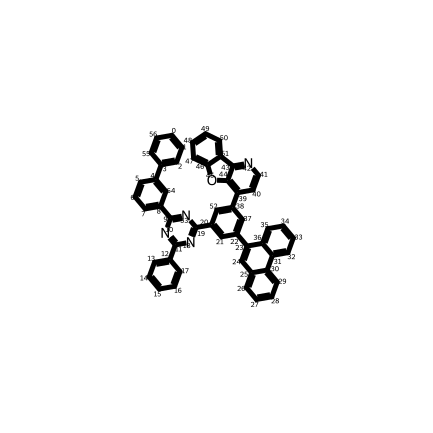 c1ccc(-c2cccc(-c3nc(-c4ccccc4)nc(-c4cc(-c5cc6ccccc6c6ccccc56)cc(-c5ccnc6c5oc5ccccc56)c4)n3)c2)cc1